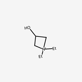 CC[N+]1(CC)CC(O)C1